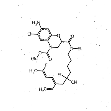 C=CC(=CC=C(C)F)CC(C#N)(CC)CCCCN(CC)C(=O)C1CN(C(=O)OC(C)(C)C)c2cc(Cl)c(N)cc2O1